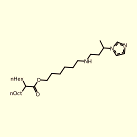 CCCCCCCCC(CCCCCC)C(=O)OCCCCCCNCCC(C)n1ccnc1